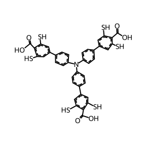 O=C(O)c1c(S)cc(-c2ccc(N(c3ccc(-c4cc(S)c(C(=O)O)c(S)c4)cc3)c3ccc(-c4cc(S)c(C(=O)O)c(S)c4)cc3)cc2)cc1S